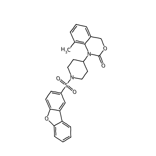 Cc1cccc2c1N(C1CCN(S(=O)(=O)c3ccc4oc5ccccc5c4c3)CC1)C(=O)OC2